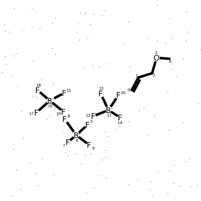 C=CCOC.F[B-](F)(F)F.F[B-](F)(F)F.F[B-](F)(F)F